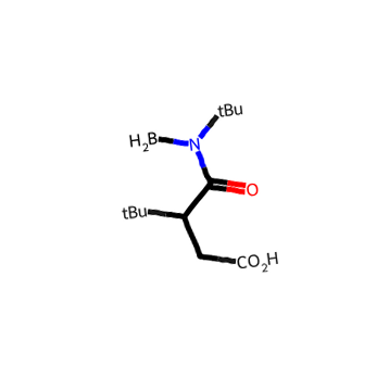 BN(C(=O)C(CC(=O)O)C(C)(C)C)C(C)(C)C